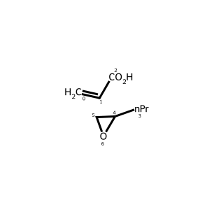 C=CC(=O)O.CCCC1CO1